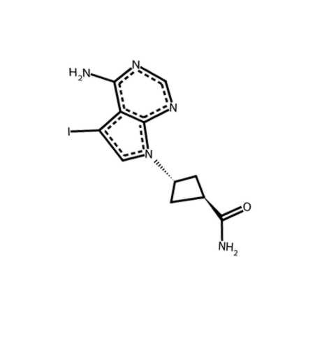 Nc1ncnc2c1c(I)cn2[C@H]1C[C@H](C(N)=O)C1